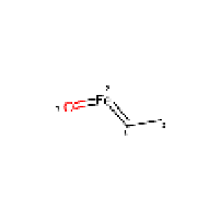 C[CH]=[Fe]=[O]